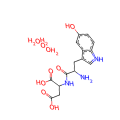 NC(Cc1c[nH]c2ccc(O)cc12)C(=O)NC(CC(=O)O)C(=O)O.O.O.O